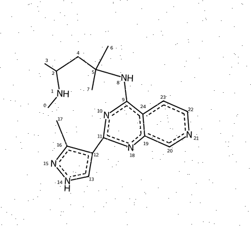 CNC(C)CC(C)(C)Nc1nc(-c2c[nH]nc2C)nc2cnccc12